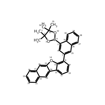 CC1(C)OB(c2cc(-c3cccc4c3oc3cc5ccccc5cc34)cc3ccccc23)OC1(C)C